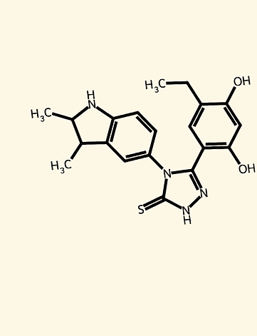 CCc1cc(-c2n[nH]c(=S)n2-c2ccc3c(c2)C(C)C(C)N3)c(O)cc1O